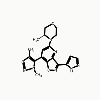 Cc1nnn(C)c1-c1cc(N2CCOC[C@H]2C)nc2c(-c3ccn[nH]3)noc12